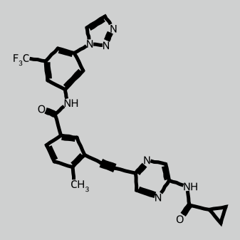 Cc1ccc(C(=O)Nc2cc(-n3ccnn3)cc(C(F)(F)F)c2)cc1C#Cc1cnc(NC(=O)C2CC2)cn1